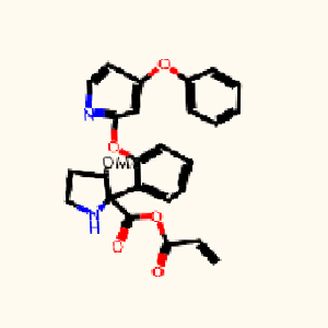 C=CC(=O)OC(=O)C1(c2ccccc2Oc2cc(Oc3ccccc3)ccn2)NCCC1OC